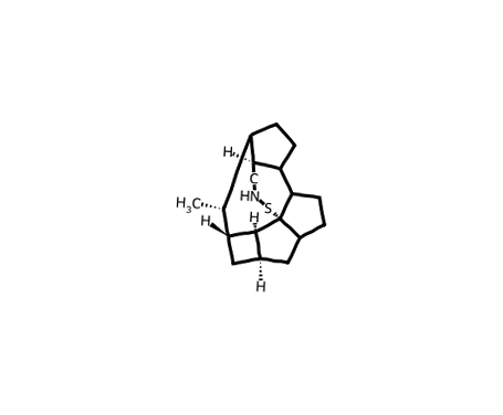 C[C@@H]1C2CCC3C4CCC5C[C@H]6C[C@H]1[C@H]6[C@]54SNC[C@H]32